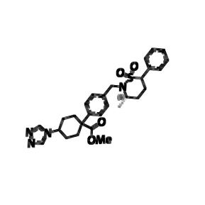 COC(=O)C1(c2ccc(CN3[C@@H](C)CCC(c4ccccc4)S3(=O)=O)cc2)CCC(n2cnnc2)CC1